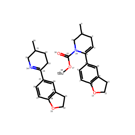 CC1CC=C(c2ccc3c(c2)CCO3)N(C(=O)OC(C)(C)C)C1.CC1CCC(c2ccc3c(c2)CCO3)=NC1